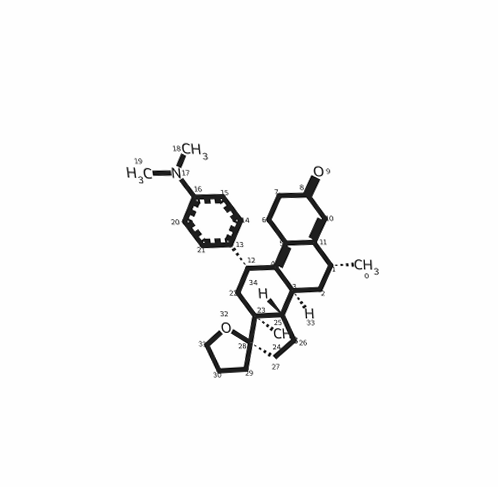 C[C@@H]1C[C@@H]2C(=C3CCC(=O)C=C31)[C@@H](c1ccc(N(C)C)cc1)C[C@@]1(C)[C@H]2CC[C@@]12CCCO2